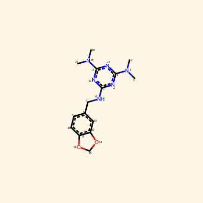 CN(C)c1nc(NCc2ccc3c(c2)OCO3)nc(N(C)C)n1